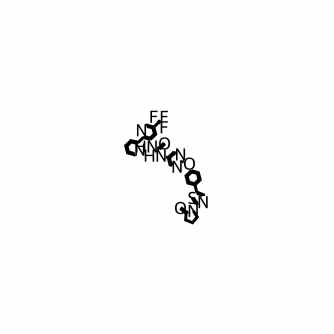 O=C(Nc1cnc(Oc2ccc(-c3cnc(N4CCCC4=O)s3)cc2)nc1)Nc1cc(C(F)(F)F)cnc1-c1ccccn1